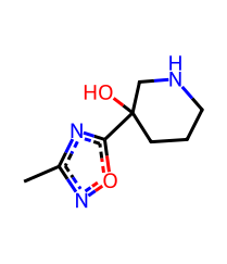 Cc1noc(C2(O)CCCNC2)n1